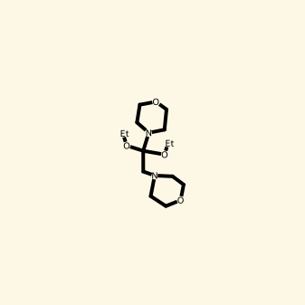 CCOC(CN1CCOCC1)(OCC)N1CCOCC1